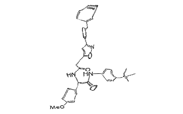 COc1ccc(C(NC(=O)Cc2cc(OCc3ccccc3)no2)C(=O)Nc2ccc(S(C)(C)C)cc2)cc1